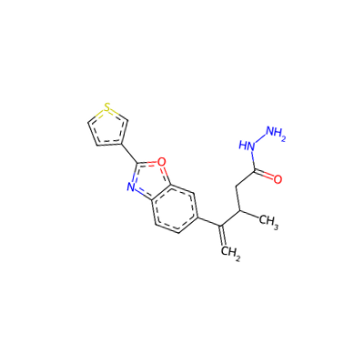 C=C(c1ccc2nc(-c3ccsc3)oc2c1)C(C)CC(=O)NN